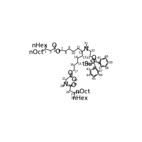 CCCCCCCCC(CCCCCC)CC(=O)OCCCCCC(CCCCCOC(=O)CN(C)C(=O)CC(CCCCCC)CCCCCCCC)N(C)CCO[Si](c1ccccc1)(c1ccccc1)C(C)(C)C